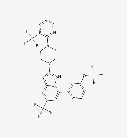 FC(F)(F)Oc1cccc(-c2cc(C(F)(F)F)cc3nc(N4CCN(c5ncccc5C(F)(F)F)CC4)[nH]c23)c1